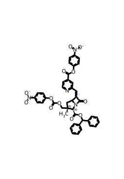 C[C@@]1(COC(=O)Oc2ccc([N+](=O)[O-])cc2)CC2/C(=C\c3cc(C(=O)Oc4ccc([N+](=O)[O-])cc4)ccn3)C(=O)N2[C@H]1C(=O)OC(c1ccccc1)c1ccccc1